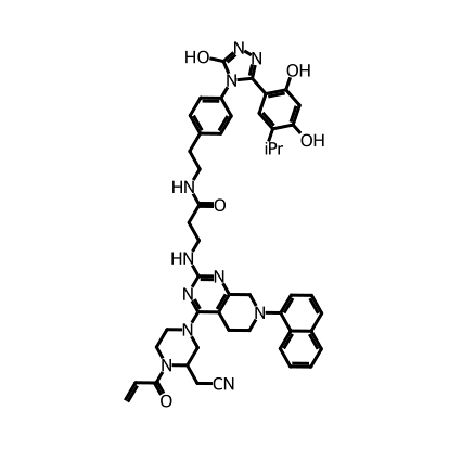 C=CC(=O)N1CCN(c2nc(NCCC(=O)NCCc3ccc(-n4c(O)nnc4-c4cc(C(C)C)c(O)cc4O)cc3)nc3c2CCN(c2cccc4ccccc24)C3)CC1CC#N